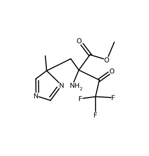 COC(=O)C(N)(CC1(C)C=NC=N1)C(=O)C(F)(F)F